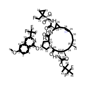 COc1ccc2c(O[C@@H]3C[C@H]4C(=O)N[C@]5(C(=O)NS(=O)(=O)C6(CF)CC6)CC5/C=C\CC[C@@H](C)C[C@@H](C)[C@H](NC(=O)OC(C)(C)C(C)(F)F)C(=O)N4C3)nc(C(F)(F)F)cc2c1